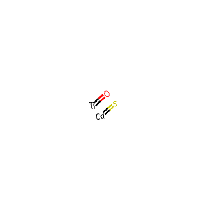 [O]=[Ti].[S]=[Cd]